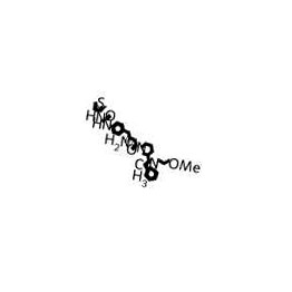 COCCCn1c(C2CCCN(C(=O)C[C@H](N)Cc3ccc(NC(=O)Nc4ccsc4)cc3)C2)c(C)c2ccccc21